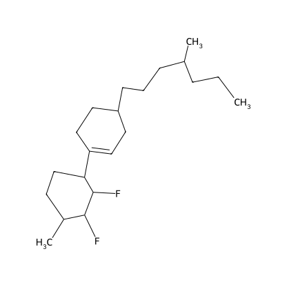 CCCC(C)CCCC1CC=C(C2CCC(C)C(F)C2F)CC1